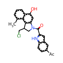 CC(=O)c1ccc2[nH]c(C(=O)N3CC(CCl)c4c3cc(O)c3cccc(C)c43)cc2c1